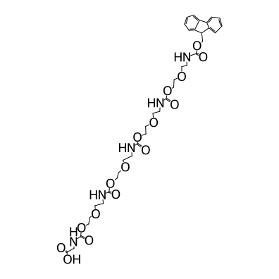 O=C(O)CNC(=O)OCCOCCNC(=O)OCCOCCNC(=O)OCCOCCNC(=O)OCCOCCNC(=O)OCC1c2ccccc2-c2ccccc21